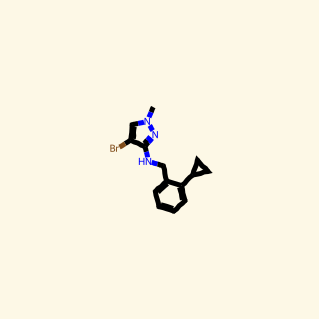 Cn1cc(Br)c(NCc2ccccc2C2CC2)n1